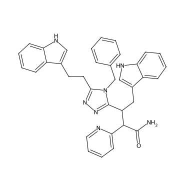 NC(=O)C(c1ccccn1)C(Cc1c[nH]c2ccccc12)c1nnc(CCc2c[nH]c3ccccc23)n1Cc1ccccc1